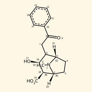 CN1[C@@H]2CC[C@H]1C(CC(=O)c1ccccc1)[C@H](O)[C@@H]2C(=O)O